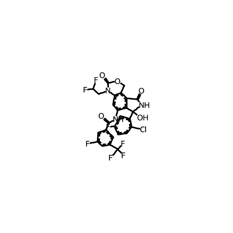 O=C(Nc1cc2c(c3c1C(O)(c1cc(F)ccc1Cl)NC3=O)COC(=O)N2CC(F)F)c1cc(F)cc(C(F)(F)F)c1